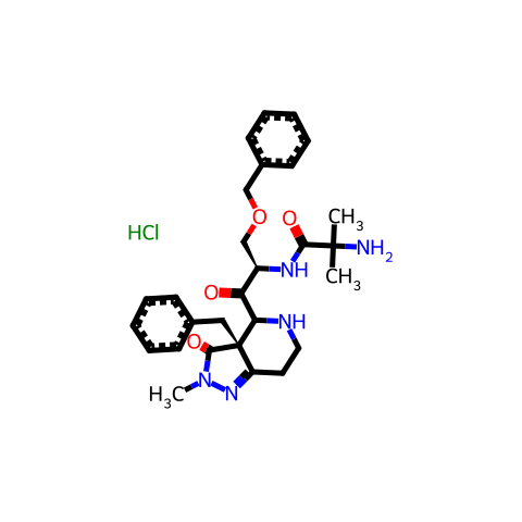 CN1N=C2CCNC(C(=O)[C@@H](COCc3ccccc3)NC(=O)C(C)(C)N)[C@@]2(Cc2ccccc2)C1=O.Cl